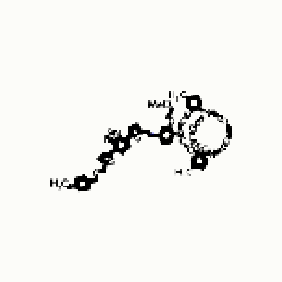 C=Cc1ccc(COCc2ccc(-c3ccc(-c4ccc(/C=C/c5ccc(N6CCOc7cc(C)ccc7N7CCOCCOCCN(CCOCCOCC7)c7ccc(C)cc7OCC6)c(OCCOC)c5)s4)c4nsnc34)s2)cc1